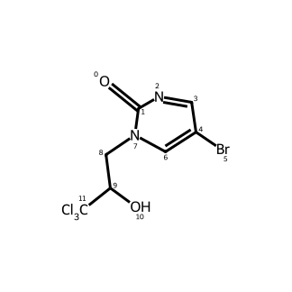 O=c1ncc(Br)cn1CC(O)C(Cl)(Cl)Cl